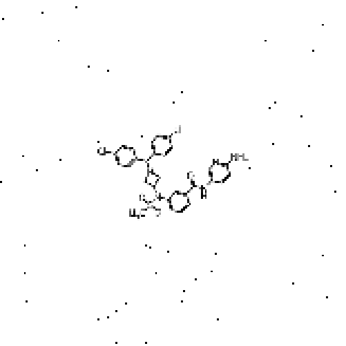 CS(=O)(=O)N(c1cccc(C(=O)Nc2ccc(N)nc2)c1)C1CN(C(c2ccc(Cl)cc2)c2ccc(Cl)cc2)C1